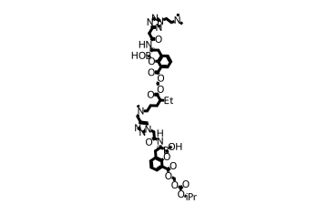 CCC(CCCN(C)Cc1cn(CC(=O)N[C@H]2Cc3cccc(C(=O)OCOC(=O)OC(C)C)c3OB2O)nn1)C(=O)OCOC(=O)c1cccc2c1OB(O)[C@@H](NC(=O)Cc1nnn(CCN(C)C)n1)C2